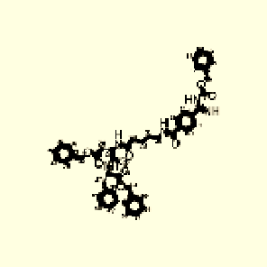 N=C(NC(=O)OCc1ccccc1)c1ccc(C(=O)NCCCCC(=O)N[C@@H](CC(=O)OCc2ccccc2)C(=O)N[C@@H](Cc2ccccc2)C(=O)OCc2ccccc2)cc1